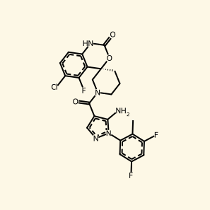 Cc1c(F)cc(F)cc1-n1ncc(C(=O)N2CCC[C@@]3(C2)OC(=O)Nc2ccc(Cl)c(F)c23)c1N